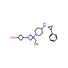 N#CCC1(N2CCC(N[C@@H]3CC3c3ccccc3)CC2)CN(C2CC(O)C2)C1